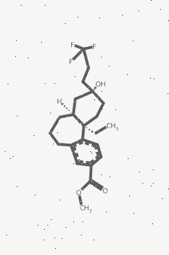 CC[C@@]12CC[C@](O)(CCC(F)(F)F)C[C@@H]1CCCc1cc(C(=O)OC)ccc12